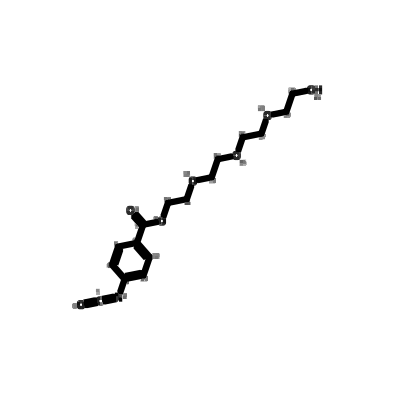 O=C=Nc1ccc(C(=O)OCCOCCOCCOCCO)cc1